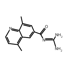 Cc1ccnc2c(C)cc(C(=O)N=C(N)N)cc12